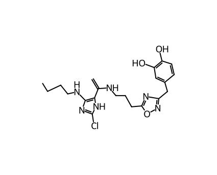 C=C(NCCCc1nc(Cc2ccc(O)c(O)c2)no1)c1[nH]c(Cl)nc1NCCCC